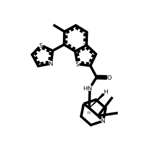 Cc1ccc2cc(C(=O)N[C@H]3C4CCN(CC4)C3(C)C)sc2c1-c1nccs1